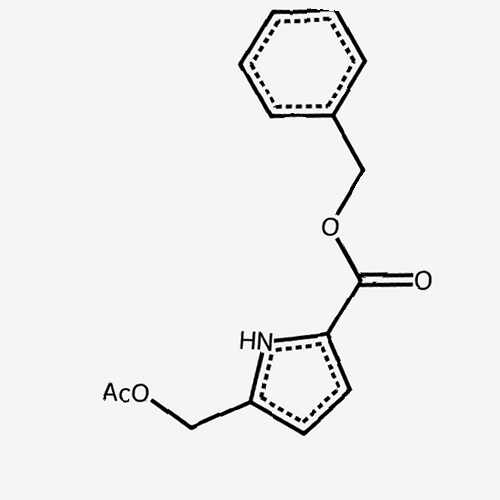 CC(=O)OCc1ccc(C(=O)OCc2ccccc2)[nH]1